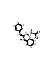 O=C(S)NOO/C(=N\c1ccccc1)Nc1ccccc1